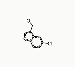 [O]Cc1csc2ccc(Cl)cc12